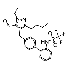 CCCCc1nn(CC)c(C=O)c1Cc1ccc(-c2ccccc2NS(=O)(=O)C(F)(F)F)cc1